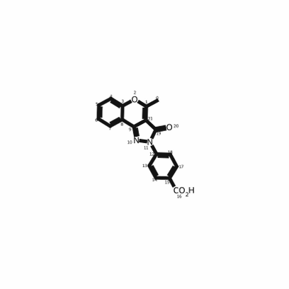 Cc1oc2ccccc2c2nn(-c3ccc(C(=O)O)cc3)c(=O)c1-2